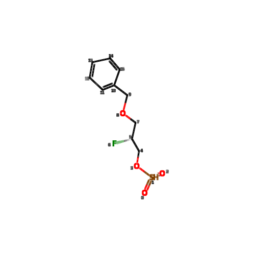 O=[SH](=O)OC[C@H](F)COCc1ccccc1